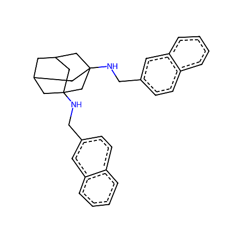 c1ccc2cc(CNC34CC5CC(C3)CC(NCc3ccc6ccccc6c3)(C5)C4)ccc2c1